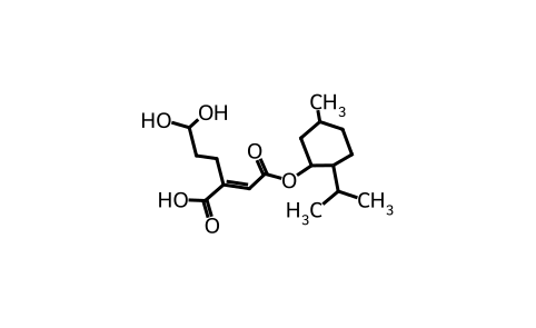 CC1CCC(C(C)C)C(OC(=O)/C=C(\CCC(O)O)C(=O)O)C1